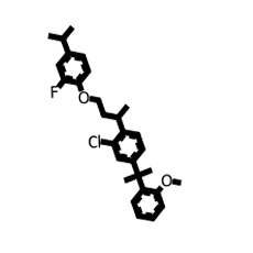 COc1ccccc1C(C)(C)c1ccc(C(C)CCOc2ccc(C(C)C)cc2F)c(Cl)c1